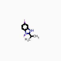 CC(C)C1Nc2cc(I)ccc2N1I